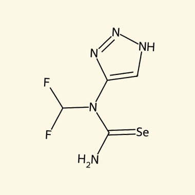 NC(=[Se])N(c1c[nH]nn1)C(F)F